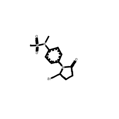 CCC1CCC(=O)N1c1ccc(N(C)S(C)(=O)=O)cc1